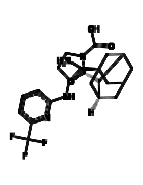 NC(=O)[C@]12CC3CC(C1)C([C@@H]1C(Nc4cccc(C(F)(F)F)n4)CCN1C(=O)O)[C@@H](C3)C2